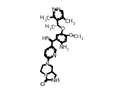 COc1cc(N)c(C(=N)c2ccc(N3CCN4C(=O)NCC4C3)nc2)cc1O[C@H](C)c1c(C)cnnc1C